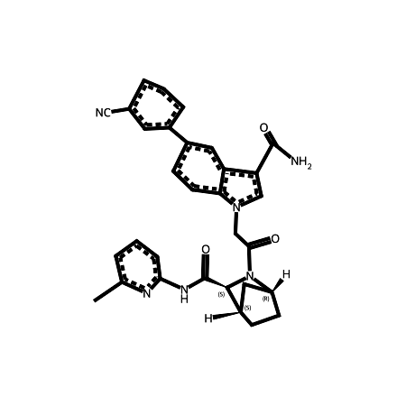 Cc1cccc(NC(=O)[C@@H]2[C@H]3CC[C@H](C3)N2C(=O)Cn2cc(C(N)=O)c3cc(-c4cccc(C#N)c4)ccc32)n1